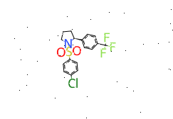 O=S(=O)(c1ccc(Cl)cc1)N1CCC[C@H]1c1ccc(C(F)(F)F)cc1